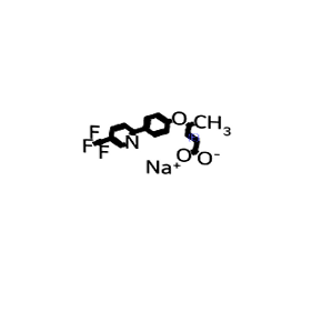 CC(/C=C/C(=O)[O-])Oc1ccc(-c2ccc(C(F)(F)F)cn2)cc1.[Na+]